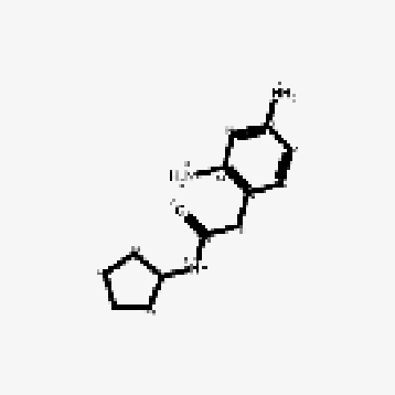 Nc1ccc(CC(=O)NC2CCCC2)c(N)c1